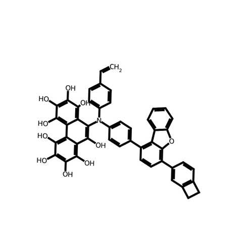 C=Cc1ccc(N(c2ccc(-c3ccc(-c4ccc5c(c4)CC5)c4oc5ccccc5c34)cc2)c2c(O)c3c(O)c(O)c(O)c(O)c3c3c(O)c(O)c(O)c(O)c23)cc1